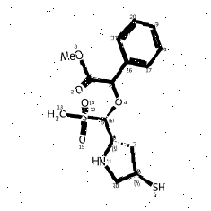 COC(=O)C(O[C@@H]([C@@H]1C[C@@H](S)CN1)S(C)(=O)=O)c1ccccc1